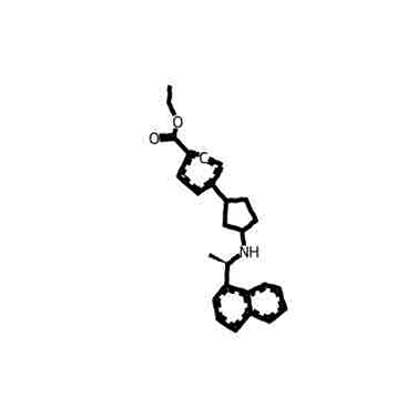 CCOC(=O)c1ccc(C2CCC(N[C@H](C)c3cccc4ccccc34)C2)cc1